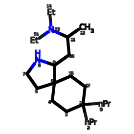 CCCC1(CCC)CCC2(CCNC2CC(C)N(CC)CC)CC1